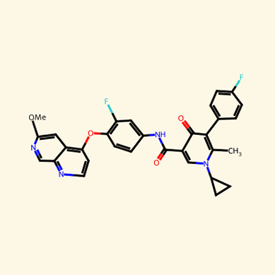 COc1cc2c(Oc3ccc(NC(=O)c4cn(C5CC5)c(C)c(-c5ccc(F)cc5)c4=O)cc3F)ccnc2cn1